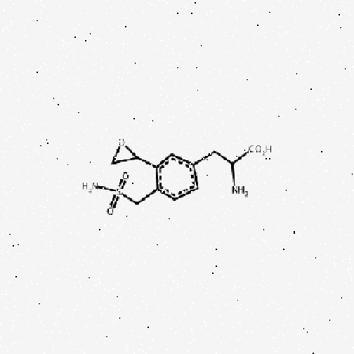 NC(Cc1ccc(CS(N)(=O)=O)c(C2CO2)c1)C(=O)O